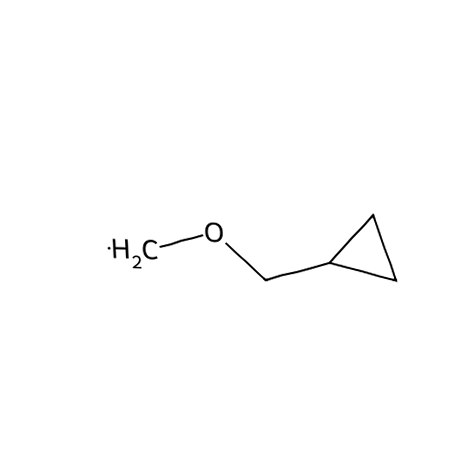 [CH2]OCC1CC1